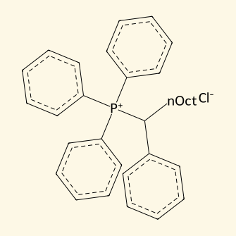 CCCCCCCCC(c1ccccc1)[P+](c1ccccc1)(c1ccccc1)c1ccccc1.[Cl-]